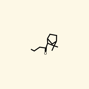 CCCC(=O)C1C2CCC(C2)C1(C)C